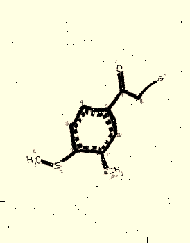 CSc1ccc(C(=O)CBr)cc1C